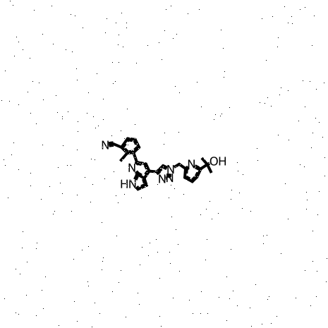 Cc1c(C#N)cccc1-c1cc(-c2cn(Cc3cccc(C(C)(C)O)n3)nn2)c2cc[nH]c2n1